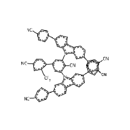 N#Cc1ccc(-c2ccc3c4ccc(-c5ccc(C#N)cc5)cc4n(-c4cc(-c5ccc(C#N)cc5C(F)(F)F)cc(-n5c6cc(-c7ccc(C#N)cc7)ccc6c6ccc(-c7ccc(C#N)cc7)cc65)c4C#N)c3c2)cc1